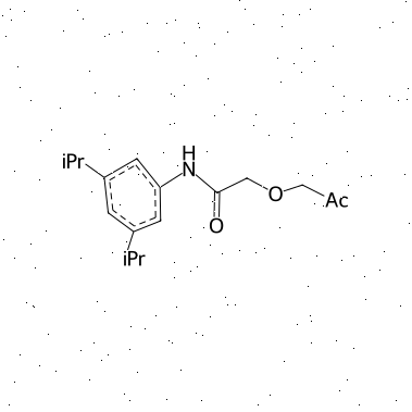 CC(=O)COCC(=O)Nc1cc(C(C)C)cc(C(C)C)c1